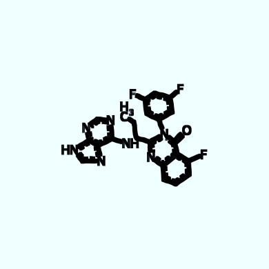 CCC(Nc1ncnc2[nH]cnc12)c1nc2cccc(F)c2c(=O)n1-c1cc(F)cc(F)c1